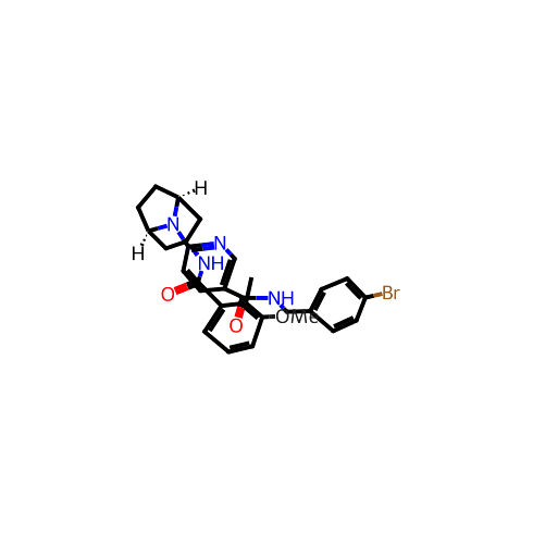 COc1cccc(C(=O)N[C@H]2C[C@H]3CC[C@@H](C2)N3c2ccc(C(=O)NCc3ccc(Br)cc3)cn2)c1C